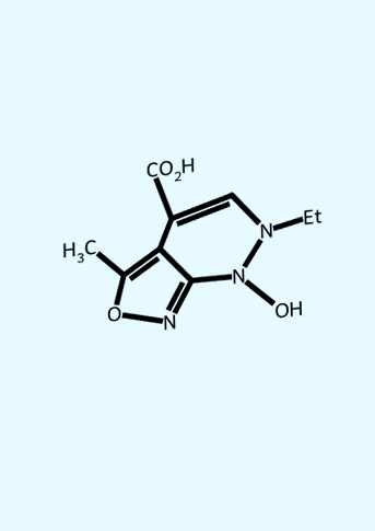 CCN1C=C(C(=O)O)c2c(noc2C)N1O